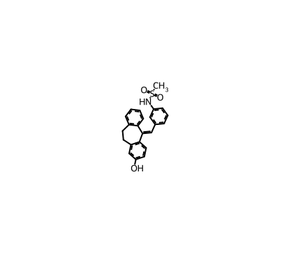 CS(=O)(=O)Nc1cccc(/C=C2\c3ccccc3CCc3cc(O)ccc32)c1